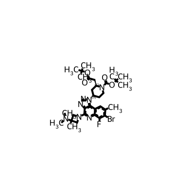 Cc1cc2c(nc(N3CC(C)(N(C)C)C3)c3nnn([C@H]4CCN(C(=O)OC(C)(C)C)[C@H](CC(=O)OC(C)(C)C)C4)c32)c(F)c1Br